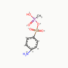 CP(=O)(O)OS(=O)(=O)c1ccc(N)cc1